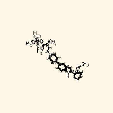 COc1ccccc1-c1cc2cc(C3=CCN(CCN(C)C(=O)OC(C)(C)C)CC3)ccc2[nH]1